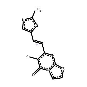 Cc1ncc(/C=C/c2nc3sccn3c(=O)c2Cl)s1